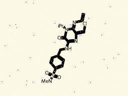 C=C(Cl)/N=C1\C(=C/C)N=C(NCc2ccc(S(=O)(=O)NC)cc2)C(=O)N1C(C)C